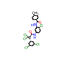 Cc1ccc(C(=O)Nc2cc(NC(=O)[C@H]3[C@H](c4cc(Cl)cc(Cl)c4)C3(Cl)Cl)ccc2Cl)cc1